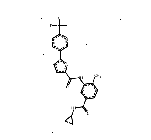 Cc1ccc(C(=O)NC2CC2)cc1NC(=O)c1ccc(-c2ccc(C(F)(F)F)cc2)s1